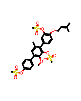 COc1c(-c2ccc(OS(C)(=O)=O)cc2)cc(C)c(-c2ccc(OCC=C(C)C)c(OS(C)(=O)=O)c2)c1OS(C)(=O)=O